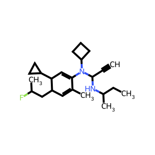 C#CC(NC(C)CC)N(C1=CC(C2CC2)C(CC(C)F)C=C1C)C1CCC1